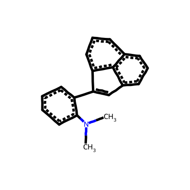 CN(C)c1ccccc1C1=Cc2cccc3cccc1c23